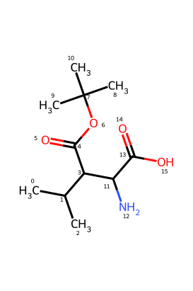 CC(C)C(C(=O)OC(C)(C)C)C(N)C(=O)O